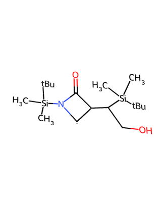 CC(C)(C)[Si](C)(C)C(CO)C1[CH]N([Si](C)(C)C(C)(C)C)C1=O